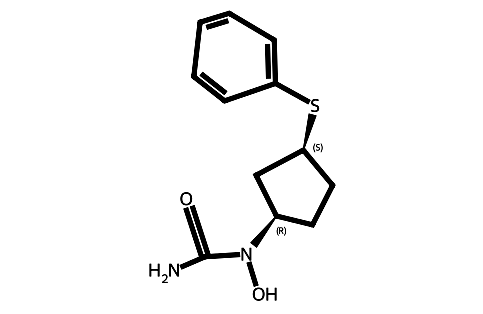 NC(=O)N(O)[C@@H]1CC[C@H](Sc2ccccc2)C1